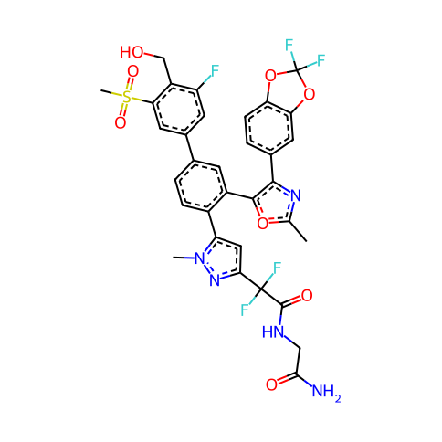 Cc1nc(-c2ccc3c(c2)OC(F)(F)O3)c(-c2cc(-c3cc(F)c(CO)c(S(C)(=O)=O)c3)ccc2-c2cc(C(F)(F)C(=O)NCC(N)=O)nn2C)o1